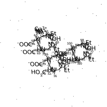 CCC1=C(C)c2nc1cc1[nH]c(cc3nc(cc4[nH]c(c2O)c(CC)c4C)C(C)=C3CCC(=O)[O-])c(CCC(=O)O)c1C.CCC1=C(C)c2nc1cc1[nH]c(cc3nc(cc4[nH]c(c2O)c(CC)c4C)C(C)=C3CCC(=O)[O-])c(CCC(=O)[O-])c1C.CCC1=C(C)c2nc1cc1[nH]c(cc3nc(cc4[nH]c(c2O)c(CC)c4C)C(C)=C3CCC(=O)[O-])c(CCC(=O)[O-])c1C.[Ga+3].[Na+].[Na+]